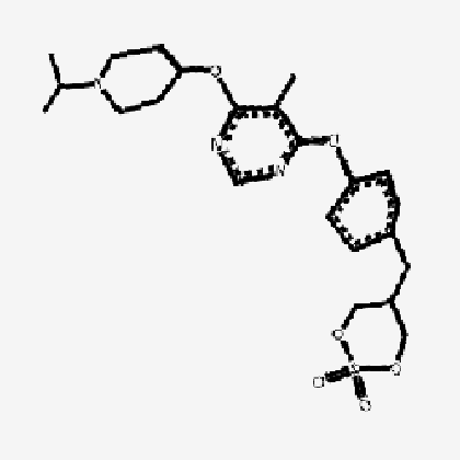 Cc1c(Oc2ccc(CC3COS(=O)(=O)OC3)cc2)ncnc1OC1CCN(C(C)C)CC1